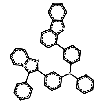 c1ccc(-c2c(-c3cccc(N(c4ccccc4)c4cccc(-c5cccc6c5oc5ccccc56)c4)c3)nc3ccccn23)cc1